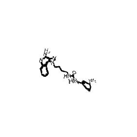 Nc1cccc(NC(=O)NCCCCn2cnc3c(N)nc4ccccc4c32)c1